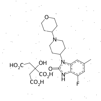 Cc1cc(F)c2[nH]c(=O)n(C3CCN(C4CCOCC4)CC3)c2c1.O=C(O)CC(O)(CC(=O)O)C(=O)O